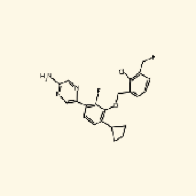 Nc1cnc(-c2ccc(C3CCC3)c(OCc3cccc(CF)c3Cl)c2F)cn1